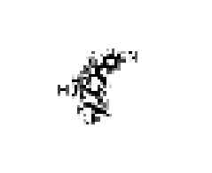 Cc1nn(-c2cc(N)[nH]c3nn(C)c(-c4ccc(C#N)cc4)c3ccn2)c(C(F)F)c1Cl